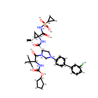 C=C[C@@H]1C[C@]1(NC(=O)[C@@H]1CN(c2ccc(-c3cccc(F)c3)cc2)CN1C(=O)C(NC(=O)OC1CCCC1)C(C)(C)C)C(=O)NS(=O)(=O)C1CC1